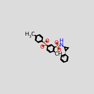 Cc1ccc(S(=O)(=O)c2ccc(C)c(S(=O)(=O)N[C@H]3C[C@@H]3c3ccccc3)c2)cc1